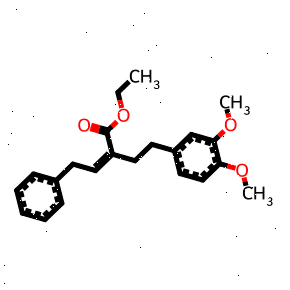 CCOC(=O)C(=CCc1ccccc1)CCc1ccc(OC)c(OC)c1